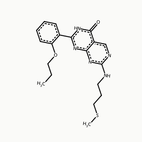 CCCOc1ccccc1-c1nc2nc(NCCCSC)ncc2c(=O)[nH]1